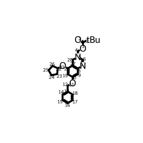 CC(C)(C)C(=O)OCN1C=Nc2cc(OCc3ccccc3)cc(OC3CCCC3)c2C1